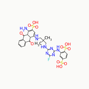 CC(C)(CNC1=CC(S(=O)(=O)O)=C(N)C2C(=O)c3ccccc3C(=O)C12)CNc1nc(F)nc(Nc2cc(S(=O)(=O)O)ccc2S(=O)(=O)O)n1